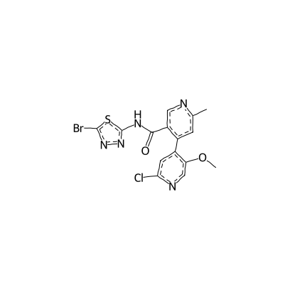 COc1cnc(Cl)cc1-c1cc(C)ncc1C(=O)Nc1nnc(Br)s1